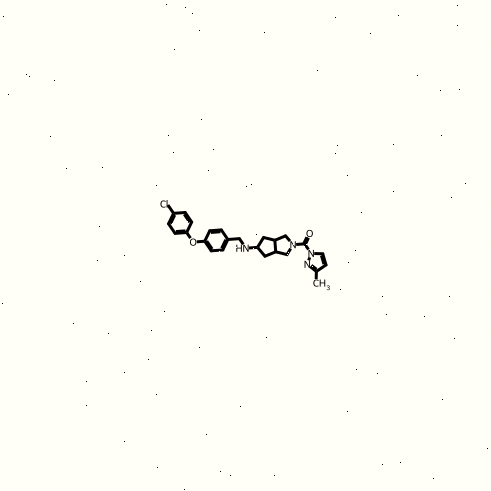 Cc1ccn(C(=O)N2CC3CC(NCc4ccc(Oc5ccc(Cl)cc5)cc4)CC3C2)n1